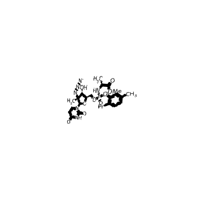 COC(=O)[C@H](C)NP(=O)(OC[C@H]1OC(n2ccc(=O)[nH]c2=O)[C@](C)(N=[N+]=[N-])[C@@H]1O)Oc1cc(C)ccc1C(C)C